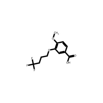 COc1ccc(C(=O)O)cc1OCCCC(F)(F)F